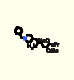 CCCC(OC)C(CC[CH]([InH2])CC1=CCN(Cc2ccccc2)CC1)OC